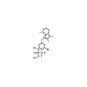 CCOP(=O)(OCC)C(F)(F)c1ccc(Cn2c(C)c(C)c3cccc(C)c32)cc1Br